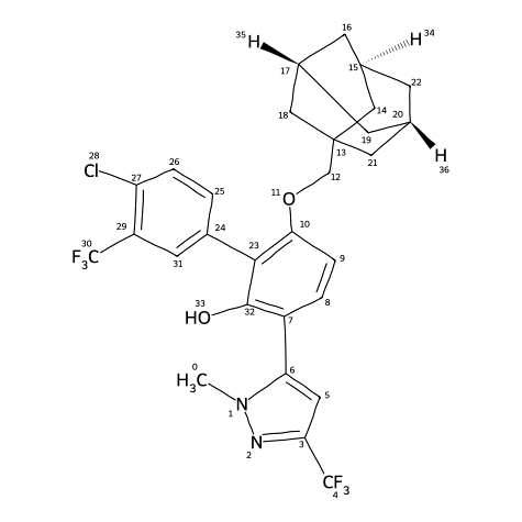 Cn1nc(C(F)(F)F)cc1-c1ccc(OCC23C[C@H]4C[C@@H](C2)C[C@@H](C3)C4)c(-c2ccc(Cl)c(C(F)(F)F)c2)c1O